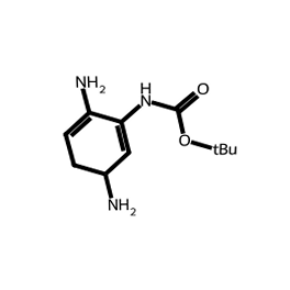 CC(C)(C)OC(=O)NC1=CC(N)CC=C1N